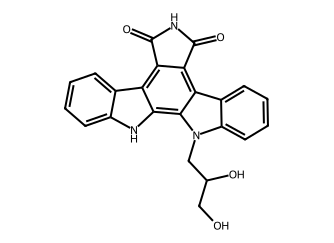 O=C1NC(=O)c2c1c1c3ccccc3[nH]c1c1c2c2ccccc2n1CC(O)CO